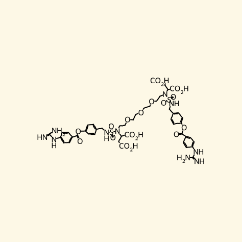 N=C(N)Nc1ccc(C(=O)Oc2ccc(CNS(=O)(=O)N(CCOCCOCCOCCN(C(CC(=O)O)C(=O)O)S(=O)(=O)NCc3ccc(OC(=O)c4ccc(NC(=N)N)cc4)cc3)C(CC(=O)O)C(=O)O)cc2)cc1